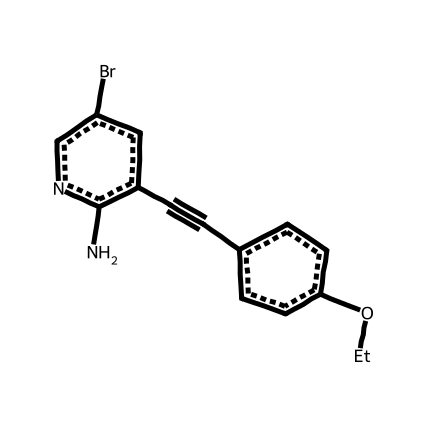 CCOc1ccc(C#Cc2cc(Br)cnc2N)cc1